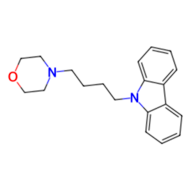 c1ccc2c(c1)c1ccccc1n2CCCCN1CCOCC1